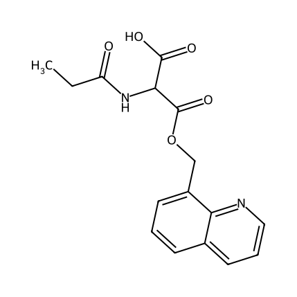 CCC(=O)NC(C(=O)O)C(=O)OCc1cccc2cccnc12